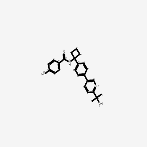 CC(C)(O)c1ccc(-c2ccc(C3(NC(=O)c4ccc(C#N)cc4)CCC3)cc2)cn1